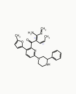 C=N/C(N)=C(\C=C/C)C(=O)c1nc(N2CCNC(c3ccccc3)C2)ccc1-c1ccc(C)o1